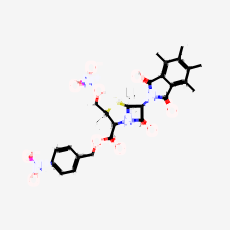 Cc1c(C)c(C)c2c(c1C)C(=O)N(C1C(=O)N3C(C(=O)OCc4ccc([N+](=O)[O-])cc4)[C@](C)(CO[N+](=O)[O-])S[C@@H]13)C2=O